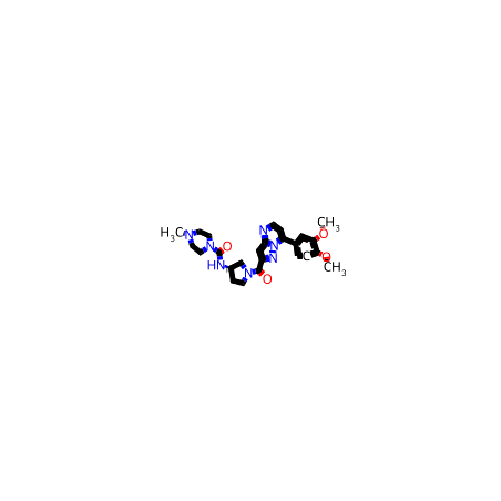 COc1ccc(-c2ccnc3cc(C(=O)N4CC[C@@H](NC(=O)N5CCN(C)CC5)C4)nn23)cc1OC